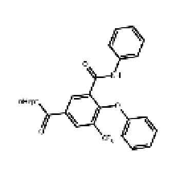 CCCCCCCC(=O)c1cc(C(=O)Nc2ccccc2)c(Oc2ccccc2)c(C(F)(F)F)c1